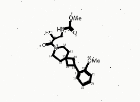 CCC(CNC(=O)OC)C(=O)N1CCC2(CC1)CC(c1ccccc1OC)C2